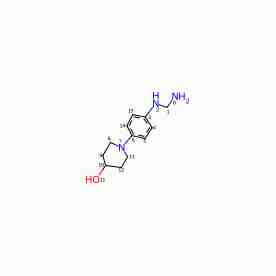 NCNc1ccc(N2CCC(O)CC2)cc1